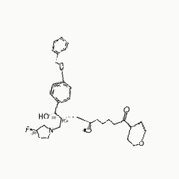 O=C(CCCCC(=O)C1CCOCC1)C[C@H](CN1CC[C@@H](F)C1)[C@H](O)c1ccc(OCc2ccccc2)cc1